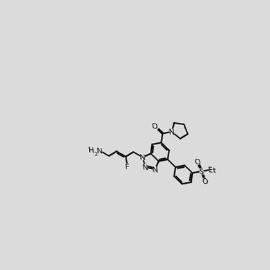 CCS(=O)(=O)c1cccc(-c2cc(C(=O)N3CCCC3)cc3c2nnn3C/C(F)=C/CN)c1